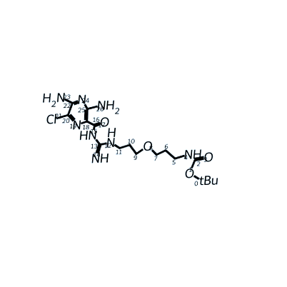 CC(C)(C)OC(=O)NCCCOCCCNC(=N)NC(=O)c1nc(Cl)c(N)nc1N